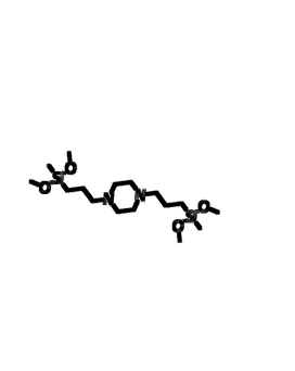 CO[Si](C)(CCCN1CCN(CCC[Si](C)(OC)OC)CC1)OC